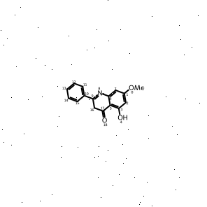 COc1cc(O)c2c(c1)N=C(c1ccccc1)CC2=O